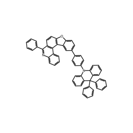 c1ccc(-c2nc3ccccc3c3c2ccc2oc4ccc(-c5ccc(N6c7ccccc7C(c7ccccc7)(c7ccccc7)c7ccccc76)cc5)cc4c23)cc1